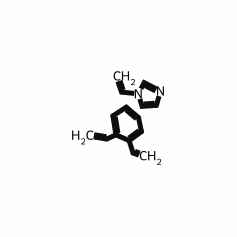 C=Cc1ccccc1C=C.C=Cn1ccnc1